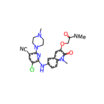 CNC(=O)COc1cc2cc(Nc3nc(N4CCN(C)CC4)c(C#N)cc3Cl)ccc2n(C)c1=O